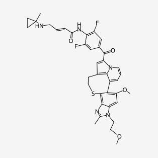 COCCn1c(C)nc2c3c(c(OC)cc21)-c1cccn2c(C(=O)c4cc(F)c(NC(=O)/C=C/CNC5(C)CC5)c(F)c4)cc(c12)CCS3